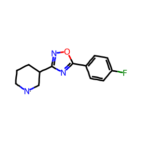 Fc1ccc(-c2nc(C3CCC[N]C3)no2)cc1